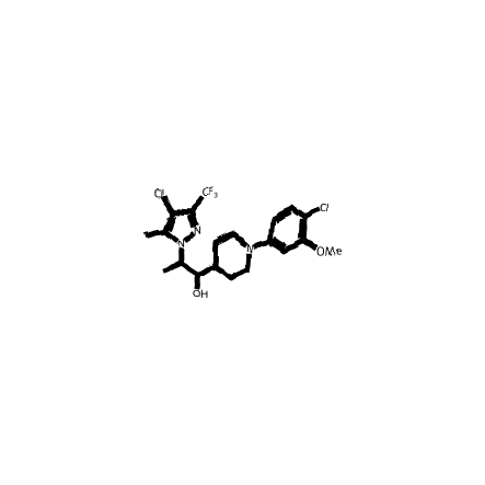 COc1cc(N2CCC(C(O)C(C)n3nc(C(F)(F)F)c(Cl)c3C)CC2)ccc1Cl